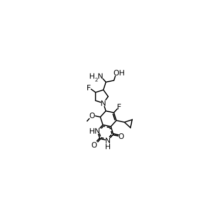 COC1c2[nH]c(=O)[nH]c(=O)c2C(C2CC2)=C(F)C1N1CC(F)C(C(N)CO)C1